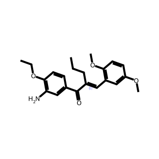 CCC/C(=C\c1cc(OC)ccc1OC)C(=O)c1ccc(OCC)c(N)c1